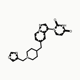 O=c1ccn(-c2cnn3ccc(CC4CCN(Cc5cscn5)CC4)cc23)c(=O)[nH]1